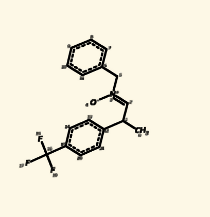 CC(C=[N+]([O-])Cc1ccccc1)c1ccc(C(F)(F)F)cc1